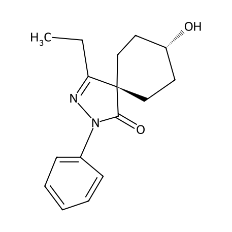 CCC1=NN(c2ccccc2)C(=O)[C@]12CC[C@@H](O)CC2